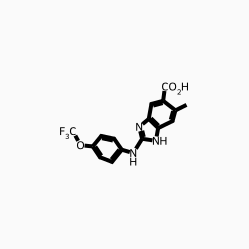 Cc1cc2[nH]c(Nc3ccc(OC(F)(F)F)cc3)nc2cc1C(=O)O